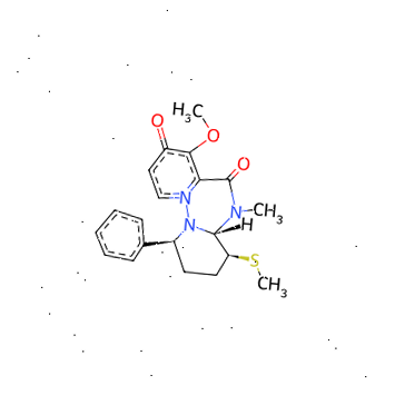 COc1c2n(ccc1=O)N1[C@H](c3ccccc3)CC[C@H](SC)[C@H]1N(C)C2=O